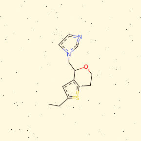 CCc1cc2c(s1)CCOC2Cn1ccnc1